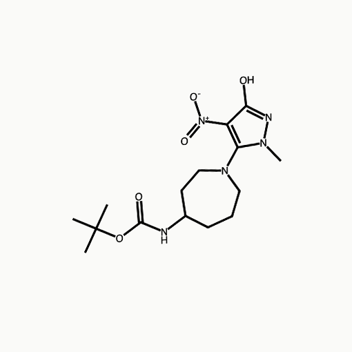 Cn1nc(O)c([N+](=O)[O-])c1N1CCCC(NC(=O)OC(C)(C)C)CC1